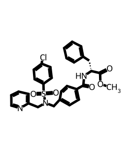 COC(=O)[C@@H](Cc1ccccc1)NC(=O)c1ccc(CN(Cc2ccccn2)S(=O)(=O)c2ccc(Cl)cc2)cc1